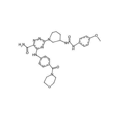 COc1ccc(NC(=O)NC2CCCN(c3nnc(C(N)=O)c(Nc4ccc(C(=O)N5CCOCC5)cc4)n3)C2)cc1